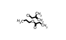 C=C(C)CCl.CCCOC(=O)CC